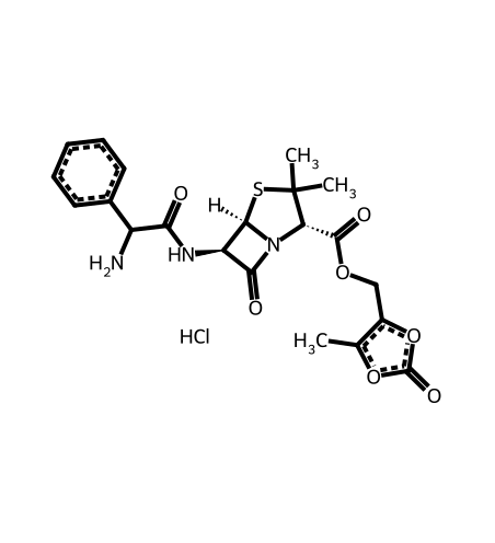 Cc1oc(=O)oc1COC(=O)[C@@H]1N2C(=O)[C@@H](NC(=O)C(N)c3ccccc3)[C@H]2SC1(C)C.Cl